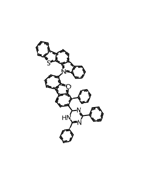 c1ccc(C2=NC(c3ccc4c(oc5c(-n6c7ccccc7c7ccc8c9ccccc9sc8c76)cccc54)c3-c3ccccc3)NC(c3ccccc3)=N2)cc1